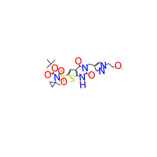 COCCn1cc(Cn2c(=O)[nH]c3sc(S(=O)(=O)N(C(=O)OC(C)(C)C)C4(C)CC4)cc3c2=O)cn1